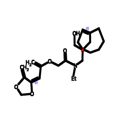 C=C(/C=C1/OCOC1=C)OCC(=O)N(CC)CC(CO)C/C1=C\CCCCCC1